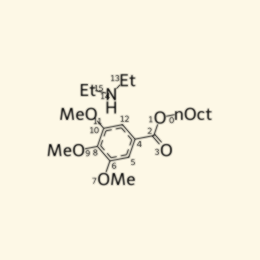 CCCCCCCCOC(=O)c1cc(OC)c(OC)c(OC)c1.CCNCC